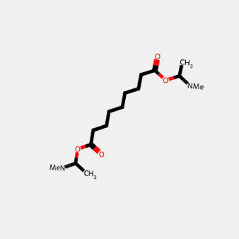 CNC(C)OC(=O)CCCCCCCC(=O)OC(C)NC